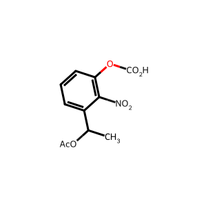 CC(=O)OC(C)c1cccc(OC(=O)O)c1[N+](=O)[O-]